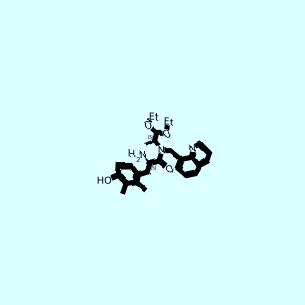 CCOC(OCC)[C@H](C)N(Cc1cccc2cccnc12)C(=O)[C@@H](N)Cc1ccc(O)c(C)c1C